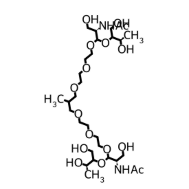 CC(=O)N[C@@H](CO)C(OCCOCCOCC(C)COCCOCCOC(OC(CO)[C@@H](C)O)[C@H](CO)NC(C)=O)OC(CO)[C@@H](C)O